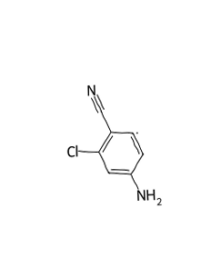 N#Cc1[c]cc(N)cc1Cl